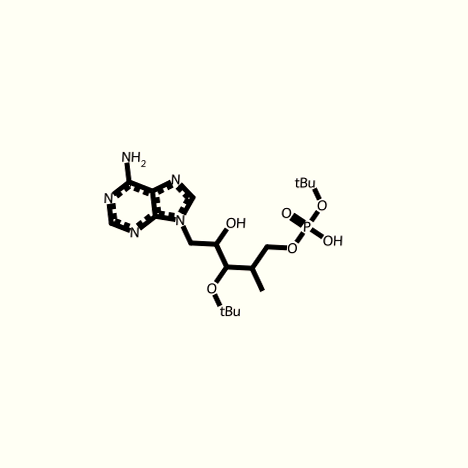 CC(COP(=O)(O)OC(C)(C)C)C(OC(C)(C)C)C(O)Cn1cnc2c(N)ncnc21